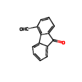 O=Cc1cccc2c1-c1ccccc1C2=O